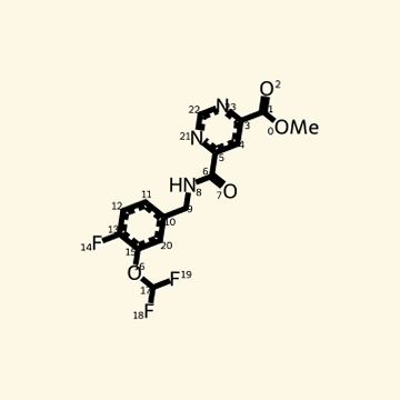 COC(=O)c1cc(C(=O)NCc2ccc(F)c(OC(F)F)c2)ncn1